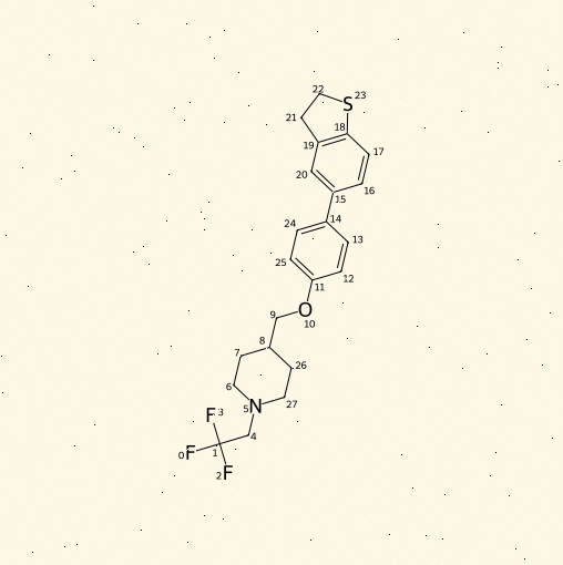 FC(F)(F)CN1CCC(COc2ccc(-c3ccc4c(c3)CCS4)cc2)CC1